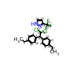 CCc1ccc(C(c2ccc(CC)cc2)C(Cl)Cl)cc1.FC(F)(F)c1cc[nH]n1